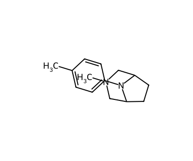 Cc1ccc(N2C3CCC2CN(C)C3)cc1